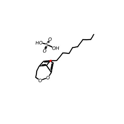 CCCCCCCCCc1c2cccc1OOCC2.O=S(=O)(O)O